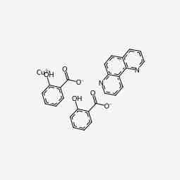 O=C([O-])c1ccccc1O.O=C([O-])c1ccccc1O.[Cu+2].c1cnc2c(c1)ccc1ncccc12